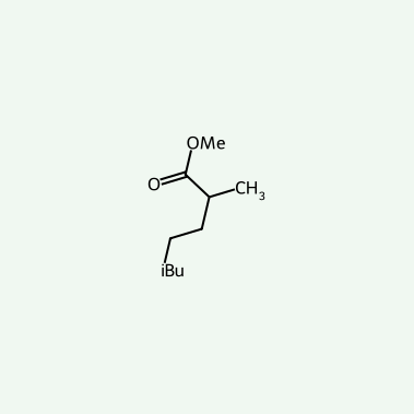 CCC(C)CCC(C)C(=O)OC